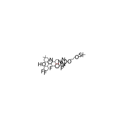 CC1(C)Cc2nc(C3CCN(c4ncc(OCCCOC[Si](C)(C)C(C)(C)C)cn4)CC3)c(C(F)c3ccc(C(F)(F)F)cc3)c(C3CCC(F)(F)CC3)c2C(O)C1